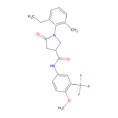 CCc1cccc(C)c1N1CC(C(=O)Nc2ccc(OC)c(C(F)(F)F)c2)CC1=O